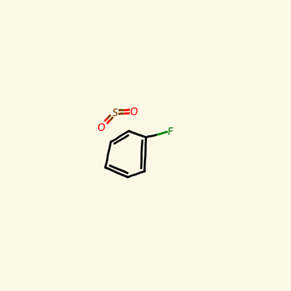 Fc1ccccc1.O=S=O